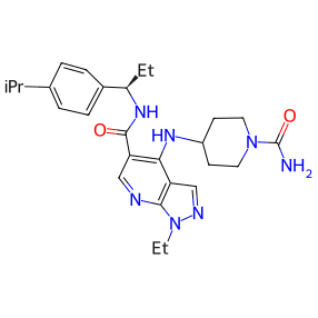 CC[C@@H](NC(=O)c1cnc2c(cnn2CC)c1NC1CCN(C(N)=O)CC1)c1ccc(C(C)C)cc1